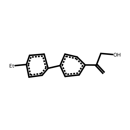 C=C(CO)c1ccc(-c2ccc(CC)cc2)cc1